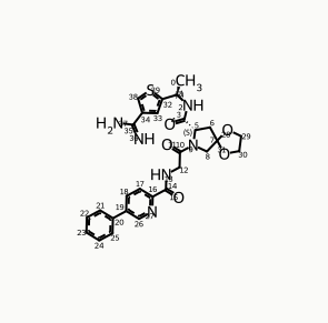 C[C@@H](NC(=O)[C@@H]1CC2(CN1C(=O)CNC(=O)c1ccc(-c3ccccc3)cn1)OCCO2)c1cc(C(=N)N)cs1